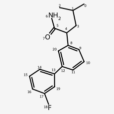 CC(C)CC(C(N)=O)c1cccc(-c2cccc(F)c2)c1